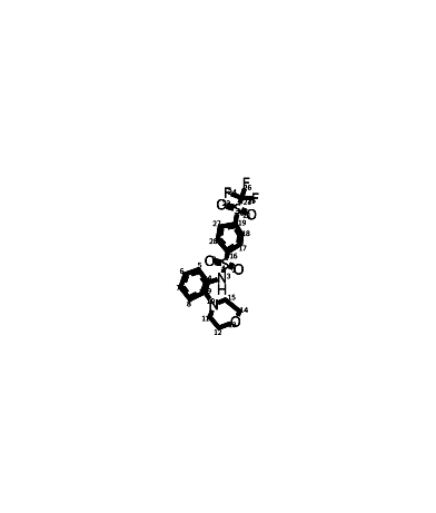 O=S(=O)(Nc1ccccc1N1CCOCC1)c1ccc(S(=O)(=O)C(F)(F)F)cc1